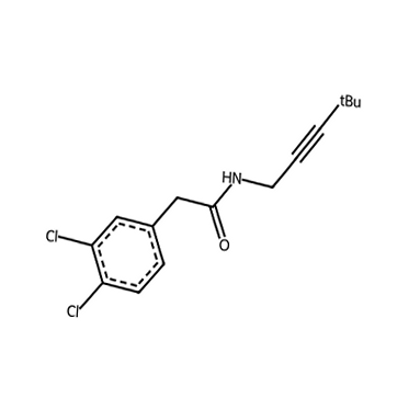 CC(C)(C)C#CCNC(=O)Cc1ccc(Cl)c(Cl)c1